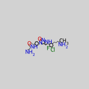 C[C@H](N)CCCc1cc(Cl)c(F)c(-c2cc3cn(-c4ccc([C@@H]5COC[C@H](CCN)N5)cc4)c(=O)nc3[nH]2)c1